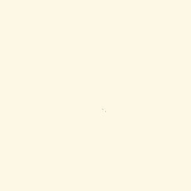 CCC(CC)OCC(CO)(CO)NC(=O)C(C)O